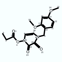 CCC(=O)On1ccn(Cc2ccc(OC)cc2OC)c(=O)c1=O